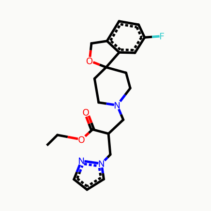 CCOC(=O)C(CN1CCC2(CC1)OCc1ccc(F)cc12)Cn1cccn1